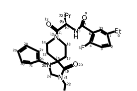 CCc1ccc(F)c(C(=O)N[C@@H](C(=O)N2CCC3(CC2)C(=O)N(CC(=O)O)CN3c2ccccc2)C(C)C)c1